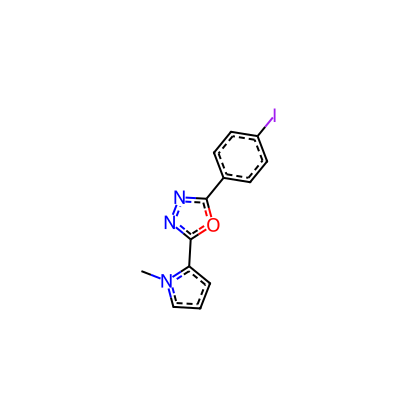 Cn1cccc1-c1nnc(-c2ccc(I)cc2)o1